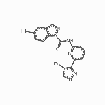 CC(C)n1cnnc1-c1cccc(NC(=O)n2ncc3cc(N)ccc32)n1